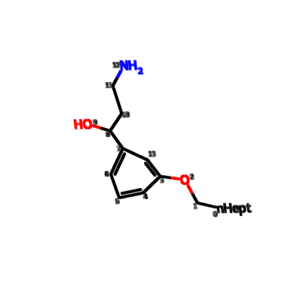 CCCCCCCCOc1cccc(C(O)CCN)c1